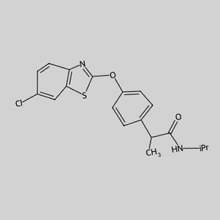 CC(C)NC(=O)C(C)c1ccc(Oc2nc3ccc(Cl)cc3s2)cc1